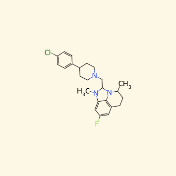 CC1CCc2cc(F)cc3c2N1C(CN1CCC(c2ccc(Cl)cc2)CC1)N3C